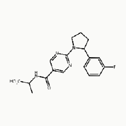 CC(NC(=O)c1cnc(N2CCCC2c2cccc(F)c2)nc1)C(=O)O